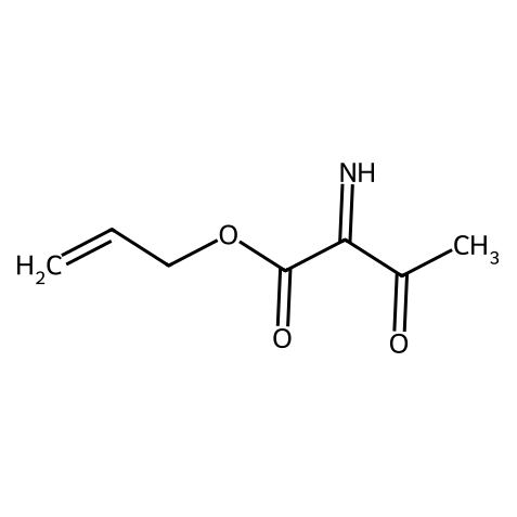 C=CCOC(=O)C(=N)C(C)=O